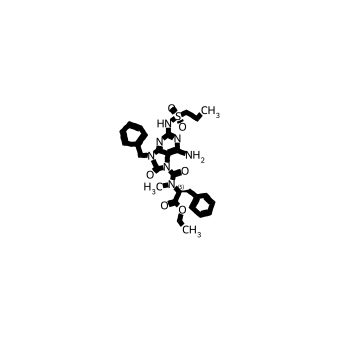 CCCS(=O)(=O)Nc1nc(N)c2c(n1)n(Cc1ccccc1)c(=O)n2C(=O)N(C)[C@@H](Cc1ccccc1)C(=O)OCC